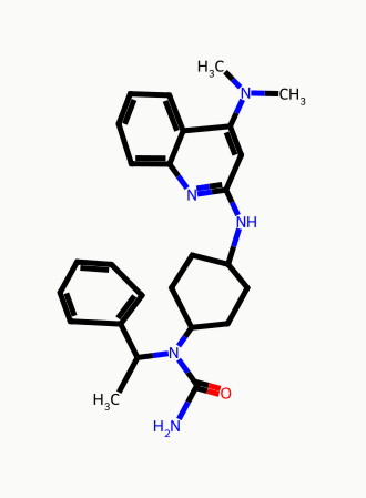 CC(c1ccccc1)N(C(N)=O)C1CCC(Nc2cc(N(C)C)c3ccccc3n2)CC1